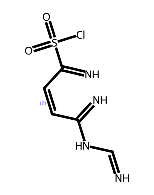 N=CNC(=N)/C=C\C(=N)S(=O)(=O)Cl